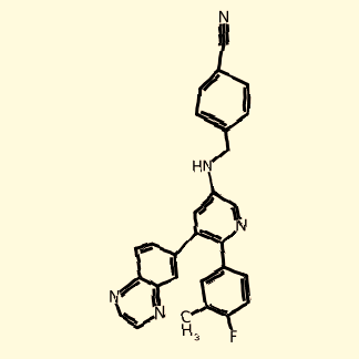 Cc1cc(-c2ncc(NCc3ccc(C#N)cc3)cc2-c2ccc3nccnc3c2)ccc1F